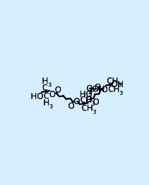 CC(C)(O)COC(=O)CC(C(=O)OCC(C)(C)COC(=O)CCCCC(=O)OCC(C)(C)CO)P(=O)(O)O